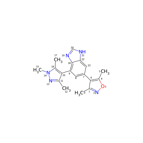 Cc1noc(C)c1-c1cc(-c2c(C)nn(C)c2C)c2nc[nH]c2c1